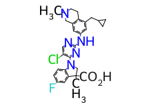 CN1CCc2c(CC3CC3)cc(Nc3ncc(Cl)c(N4CC(C)(C(=O)O)c5cc(F)ccc54)n3)cc2C1